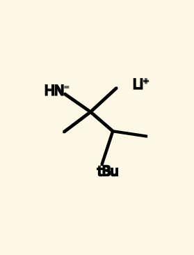 CC(C(C)(C)C)C(C)(C)[NH-].[Li+]